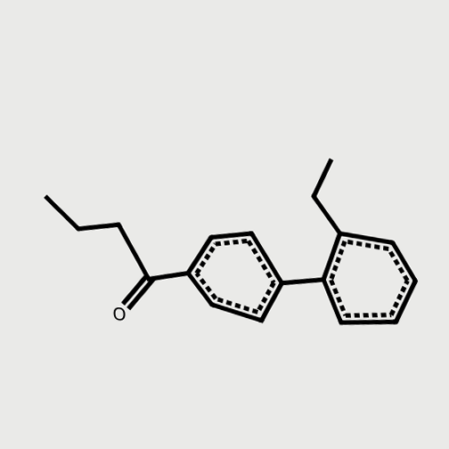 CCCC(=O)c1ccc(-c2ccccc2CC)cc1